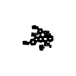 CC(c1ccccc1)=c1cc2c(c(C3=CC(C(C)(C)C)=CC3C)c1C(C)(C)C)=[C]([Zr+2])c1cc(C(C)(C)C)ccc1-2.[Cl-].[Cl-]